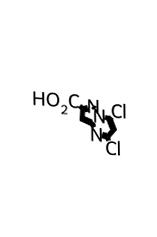 O=C(O)c1cc2nc(Cl)cc(Cl)n2n1